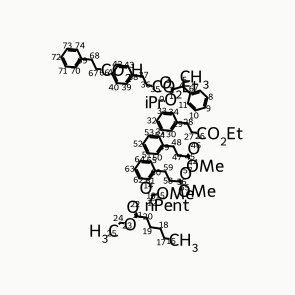 CC(C)OC(=O)C(C)c1ccccc1.CCCCCC(=O)OC.CCCCCC(=O)OCC.CCOC(=O)CCc1ccccc1.CCOC(=O)CCc1ccccc1.COC(=O)CCc1ccccc1.COC(=O)CCc1ccccc1.O=C(O)CCc1ccccc1